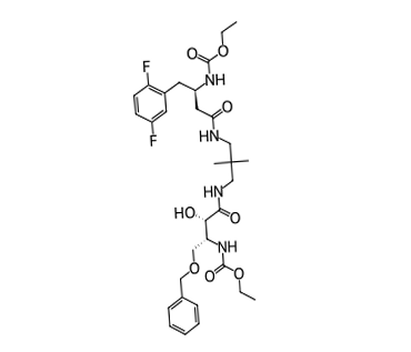 CCOC(=O)N[C@@H](CC(=O)NCC(C)(C)CNC(=O)[C@@H](O)[C@@H](COCc1ccccc1)NC(=O)OCC)Cc1cc(F)ccc1F